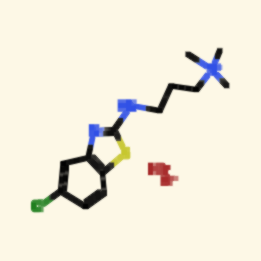 Br.C[N+](C)(C)CCCNc1nc2cc(Cl)ccc2s1.[Br-]